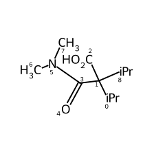 CC(C)C(C(=O)O)(C(=O)N(C)C)C(C)C